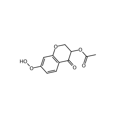 CC(=O)OC1COc2cc(OO)ccc2C1=O